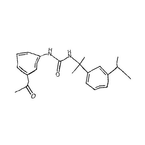 CC(=O)c1cccc(NC(=O)NC(C)(C)c2cccc(C(C)C)c2)c1